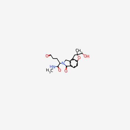 CNC(=O)C(CCC=O)N1Cc2c(ccc3c2CC(C)(CO)O3)C1=O